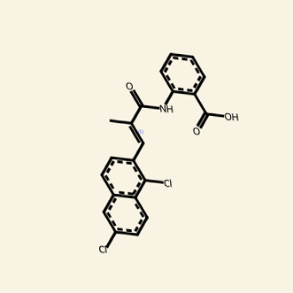 C/C(=C\c1ccc2cc(Cl)ccc2c1Cl)C(=O)Nc1ccccc1C(=O)O